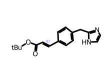 CC(C)(C)OC(=O)/C=C/c1ccc(Cc2ncc[nH]2)cc1